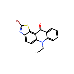 CCn1c2ccccc2c(=O)c2c3sc(Br)nc3ccc21